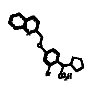 O=C(O)C(c1ccc(OCc2ccc3ccccc3n2)cc1Br)C1CCCC1